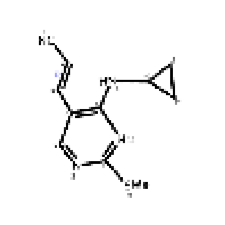 CSc1ncc(/C=C/C#N)c(NC2CC2)n1